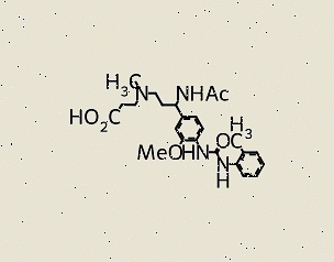 COc1cc(C(CCN(C)CCC(=O)O)NC(C)=O)ccc1NC(=O)Nc1ccccc1C